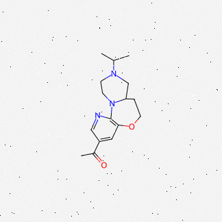 CC(=O)c1cnc2c(c1)OCCC1CN(C(C)C)CCN21